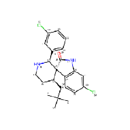 CC(C)(C)C[C@H]1CCN[C@@H](c2cccc(Cl)c2)[C@]12C(=O)Nc1cc(Cl)ccc12